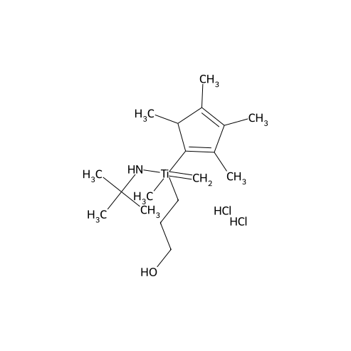 Cl.Cl.[CH2]=[Ti]([CH3])([CH2]CCO)([NH]C(C)(C)C)[C]1=C(C)C(C)=C(C)C1C